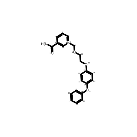 NC(=O)c1ccc[n+](COCCOc2ccc(Oc3ccccc3)cc2)c1